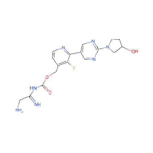 N=C(CN)NC(=O)OCc1ccnc(-c2cnc(N3CCC(O)C3)nc2)c1F